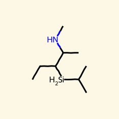 CCC([SiH2]C(C)C)C(C)NC